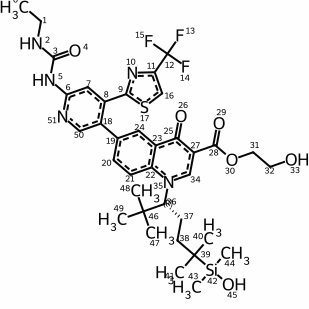 CCNC(=O)Nc1cc(-c2nc(C(F)(F)F)cs2)c(-c2ccc3c(c2)c(=O)c(C(=O)OCCO)cn3[C@H](CCC(C)(C)[Si](C)(C)O)C(C)(C)C)cn1